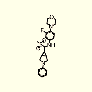 CS(=O)(=O)C(Nc1ccc(N2CCOCC2)c(F)c1)C1C2CN(c3ccccc3)CC21